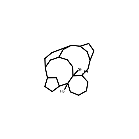 SC12CCCCC3(S)C4CCC(C4)C4CCC(CC(CCC13S)C4)C1CCC(C1)C2